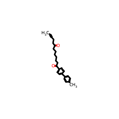 CC#CCCC(=O)CCCCCCC(=O)c1ccc(-c2ccc(C)cc2)cc1